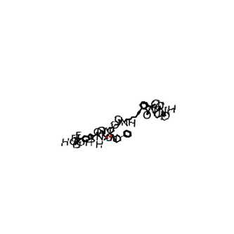 CC(C)(C)[C@H](NC(=O)c1cc2cc(C(F)(F)P(=O)(O)O)ccc2s1)C(=O)N1C[C@@H](OCC(=O)NCCCCC#Cc2cccc3c2C(=O)N(C2CCC(=O)NC2=O)C3=O)C[C@H]1C(=O)N1CCC[C@H](c2ccccc2)C1